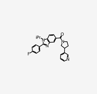 CC(C)n1c(-c2ccc(F)cc2)nc2cc(C(=O)N3CCC(c4cccnc4)C3)ccc21